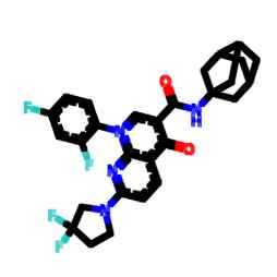 O=C(NC12CC3CC(C1)C(C3)C2)c1cn(-c2ccc(F)cc2F)c2nc(N3CCC(F)(F)C3)ccc2c1=O